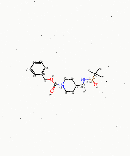 C[C@@H](N[S@+]([O-])C(C)(C)C)C1CCN(C(=O)OCc2ccccc2)CC1